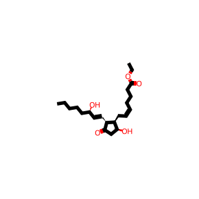 CCCCC[C@H](O)/C=C/[C@H]1C(=O)C[C@H](O)[C@@H]1C/C=C\CCCC(=O)OCC